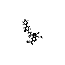 CC(c1ccc(C(=O)O)cc1NC(=O)CCc1ccc(-c2ccccc2)cc1F)[N+](=O)[O-]